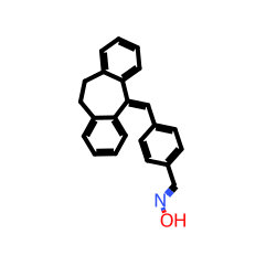 ON=Cc1ccc(C=C2c3ccccc3CCc3ccccc32)cc1